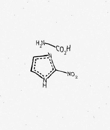 NC(=O)O.O=[N+]([O-])c1ncc[nH]1